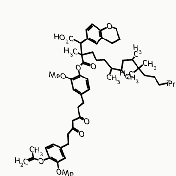 C=C(C)Oc1ccc(CCC(=O)CC(=O)CCc2ccc(OC(=O)C(C)(CCCC(C)C(C)CC(C)C(C)(C)CCCC(C)C)C(C(=O)O)c3ccc4c(c3)CCCO4)c(OC)c2)cc1OC